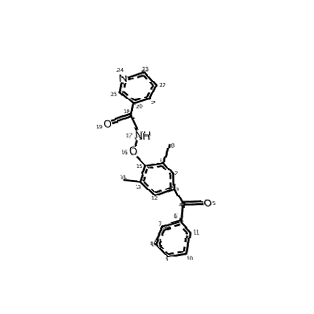 Cc1cc(C(=O)c2ccccc2)cc(C)c1ONC(=O)c1cccnc1